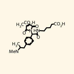 CC(=O)O.CNC(C)Cc1ccc(C(C(=O)NCCCCC(=O)O)N2C(=O)C=CC2=O)cc1